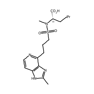 Cc1nc2c(CCCS(=O)(=O)N(C)[C@@H](CC(C)C)C(=O)O)nccc2[nH]1